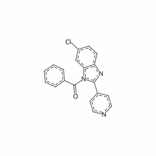 O=C(c1ccccc1)n1c(-c2ccncc2)nc2ccc(Cl)cc21